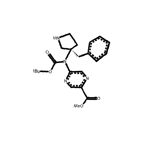 COC(=O)c1cnc(N(C(=O)OC(C)(C)C)[C@]2(Cc3ccccc3)CCNC2)cn1